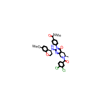 CNC(=O)c1ccc(-n2c(N[C@@H]3CCOc4cc(OC)ccc43)nc3c(c2=O)C[C@@H](C)N(C(=O)c2ccc(Cl)c(Cl)c2)C3)cc1